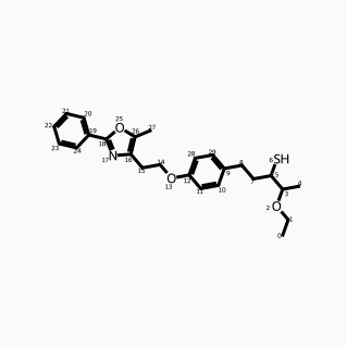 CCOC(C)C(S)CCc1ccc(OCCc2nc(-c3ccccc3)oc2C)cc1